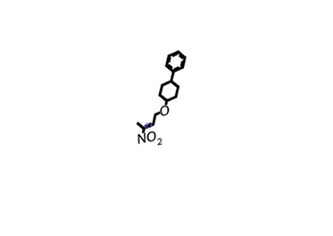 C/C(=C\COC1CCC(c2ccccc2)CC1)[N+](=O)[O-]